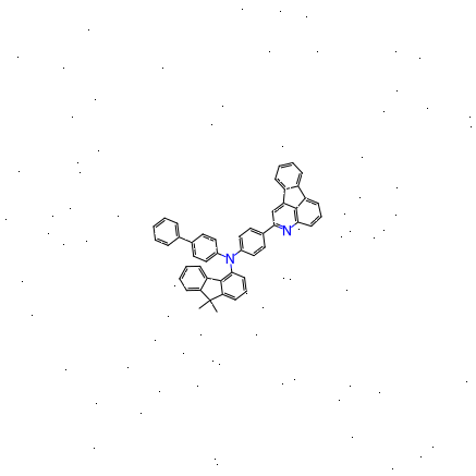 CC1(C)c2ccccc2-c2c(N(c3ccc(-c4ccccc4)cc3)c3ccc(-c4cc5c6c(cccc6n4)-c4ccccc4-5)cc3)cccc21